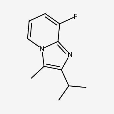 Cc1c(C(C)C)nc2c(F)cccn12